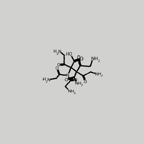 NCC(=O)N(C(=O)CN)C(C(=O)O)(C(=O)CN)C(C(N)=O)(C(=O)CN)C(=O)CN